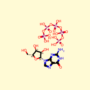 Nc1nc2c(ncn2[C@@H]2O[C@H](CO)[C@@H](O)[C@H]2O)c(=O)[nH]1.O=P(O)(O)OP(=O)(O)OP(=O)(O)OP(=O)(O)OP(=O)(O)O